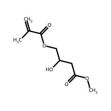 C=C(C)C(=O)OCC(O)CC(=O)OC